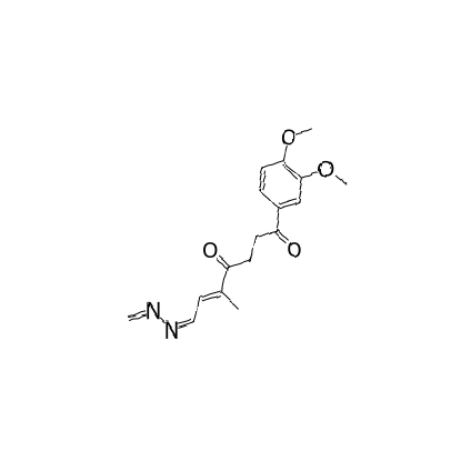 C=N/N=C\C=C(/C)C(=O)CCC(=O)c1ccc(OC)c(OC)c1